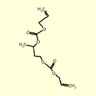 C=CCOC(=O)OCCC(C)OC(=O)OCC=C